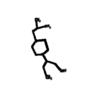 CCC(CO)N1CCN(SC(C)C)CC1